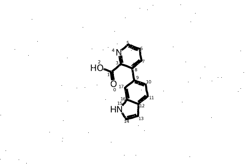 O=C(O)c1ncccc1-c1ccc2cc[nH]c2c1